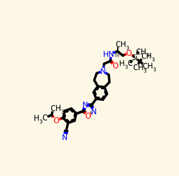 CC(C)Oc1ccc(-c2nc(-c3ccc4c(c3)CCN(CC(=O)N[C@@H](C)CO[Si](C)(C)C(C)(C)C)CC4)no2)cc1C#N